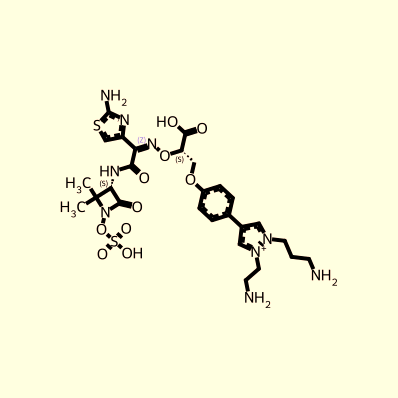 CC1(C)[C@H](NC(=O)/C(=N\O[C@@H](COc2ccc(-c3cn(CCCN)[n+](CCN)c3)cc2)C(=O)O)c2csc(N)n2)C(=O)N1OS(=O)(=O)O